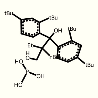 CCCCC(CC)(CO)C(O)(c1ccc(C(C)(C)C)cc1C(C)(C)C)c1ccc(C(C)(C)C)cc1C(C)(C)C.OP(O)O